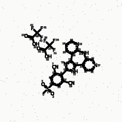 CS(=O)(=O)c1cc(C#N)c(-c2nc3c([nH]2)-c2ccncc2Nc2ncccc2-3)c(C#N)c1.O=C(O)C(F)(F)F.O=C(O)C(F)(F)F